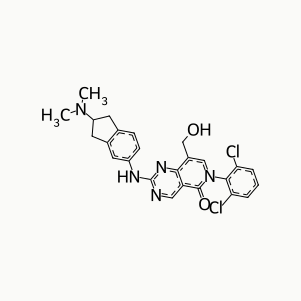 CN(C)C1Cc2ccc(Nc3ncc4c(=O)n(-c5c(Cl)cccc5Cl)cc(CO)c4n3)cc2C1